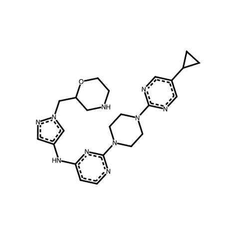 c1cc(Nc2cnn(CC3CNCCO3)c2)nc(N2CCN(c3ncc(C4CC4)cn3)CC2)n1